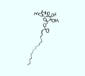 CCCCCCCCCCCCCC=CC(=O)OC[C@H]1OC(O)[C@H](O)[C@@H](O)[C@@H]1O